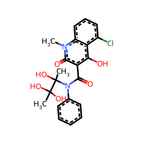 Cn1c(=O)c(C(=O)N(c2ccccc2)C(C)(O)C(C)(O)O)c(O)c2c(Cl)cccc21